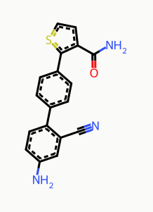 N#Cc1cc(N)ccc1-c1ccc(-c2sccc2C(N)=O)cc1